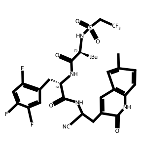 Cc1ccc2[nH]c(=O)c(CC(C#N)NC(=O)[C@H](Cc3cc(F)c(F)cc3F)NC(=O)[C@@H](NS(=O)(=O)CC(F)(F)F)C(C)(C)C)cc2c1